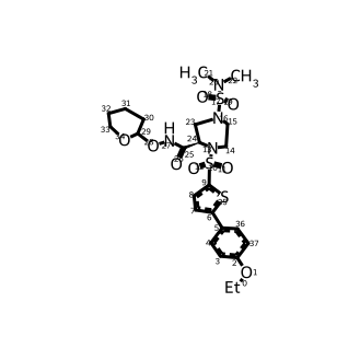 CCOc1ccc(-c2ccc(S(=O)(=O)N3CCN(S(=O)(=O)N(C)C)C[C@@H]3C(=O)NOC3CCCCO3)s2)cc1